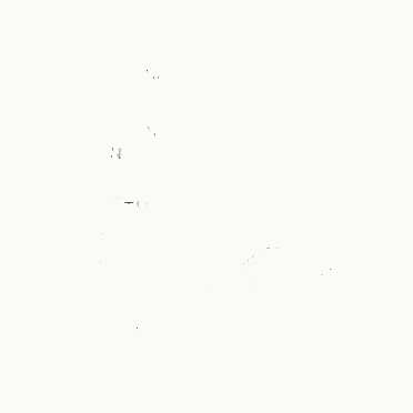 NC(=O)c1cn(C[C@@H](O)CCCc2ccccc2OCCS(=O)(=O)c2ccc(Cl)cc2)cn1